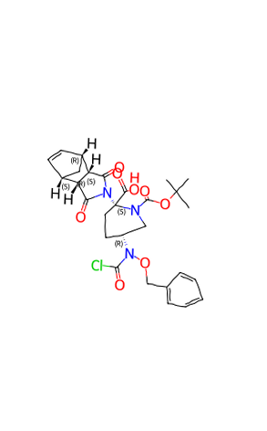 CC(C)(C)OC(=O)N1C[C@H](N(OCc2ccccc2)C(=O)Cl)CC[C@]1(C(=O)O)N1C(=O)[C@@H]2[C@H](C1=O)[C@@H]1C=C[C@H]2C1